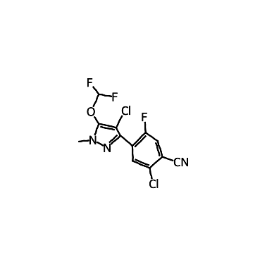 Cn1nc(-c2cc(Cl)c(C#N)cc2F)c(Cl)c1OC(F)F